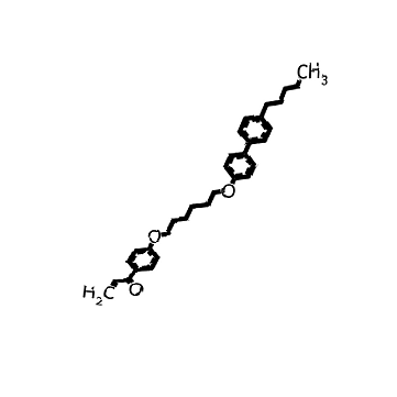 C=CC(=O)c1ccc(OCCCCCCOc2ccc(-c3ccc(CCCCC)cc3)cc2)cc1